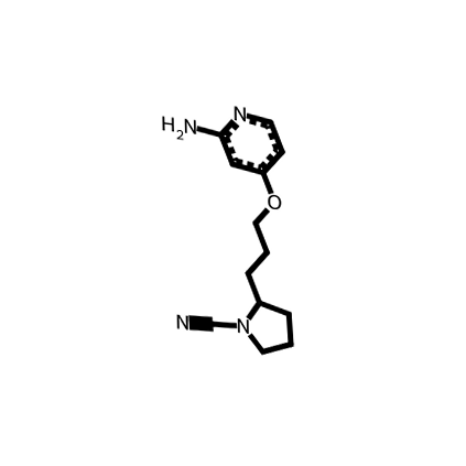 N#CN1CCCC1CCCOc1ccnc(N)c1